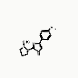 Bc1ccc(-c2c[nH]c(C3CCCN3C=O)n2)cc1